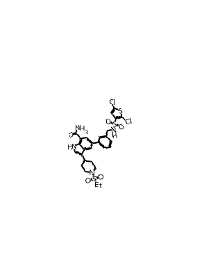 CCS(=O)(=O)N1CCC(c2c[nH]c3c(C(N)=O)cc(-c4cccc(CNS(=O)(=O)c5cc(Cl)sc5Cl)c4)cc23)CC1